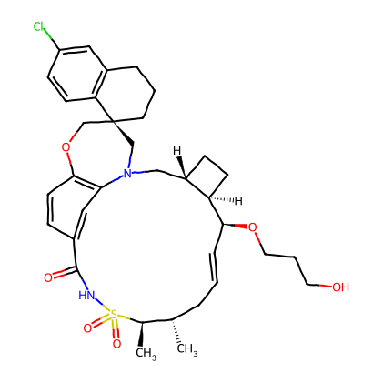 C[C@@H]1[C@@H](C)C/C=C/[C@H](OCCCO)[C@@H]2CC[C@H]2CN2C[C@@]3(CCCc4cc(Cl)ccc43)COc3ccc(cc32)C(=O)NS1(=O)=O